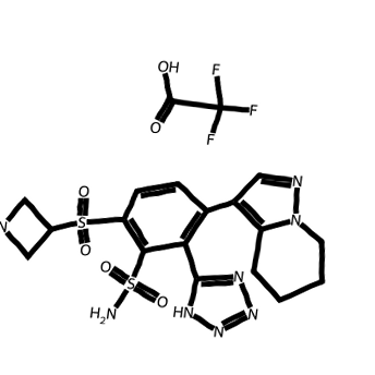 NS(=O)(=O)c1c(S(=O)(=O)C2CNC2)ccc(-c2cnn3c2CCCC3)c1-c1nnn[nH]1.O=C(O)C(F)(F)F